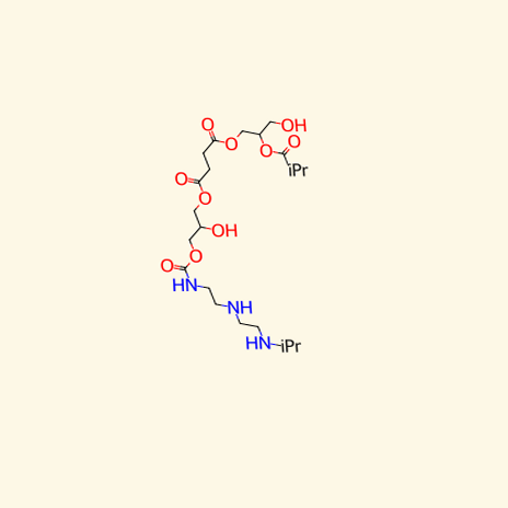 CC(C)NCCNCCNC(=O)OCC(O)COC(=O)CCC(=O)OCC(CO)OC(=O)C(C)C